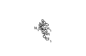 Cc1ccc(NC(=O)c2cccc(C(F)(F)F)c2)cc1NC(=O)N(C)c1cc(N(Cc2ccccc2)C2=COCO2)ncn1